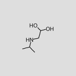 CC(C)NCC(O)O